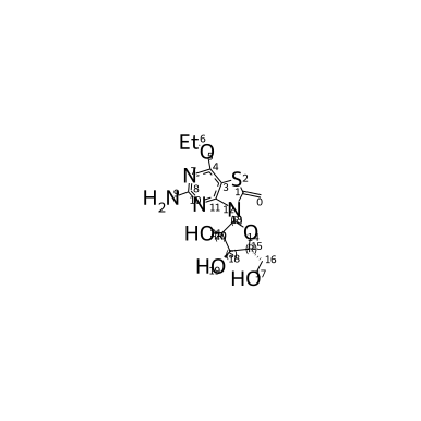 C=C1Sc2c(OCC)nc(N)nc2N1[C@@H]1O[C@H](CO)[C@@H](O)[C@H]1O